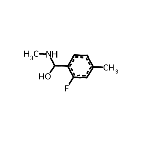 CNC(O)c1ccc(C)cc1F